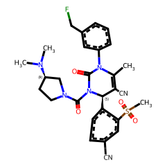 CC1=C(C#N)[C@@H](c2ccc(C#N)cc2S(C)(=O)=O)N(C(=O)N2CC[C@@H](N(C)C)C2)C(=O)N1c1cccc(CF)c1